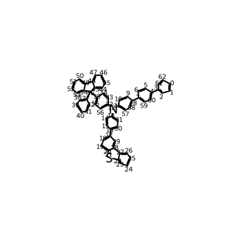 c1ccc(-c2ccc(-c3ccc(N(c4ccc(-c5ccc6sc7ccccc7c6c5)cc4)c4ccc(C5(c6ccccc6)c6ccccc6-c6ccccc65)cc4)cc3)cc2)cc1